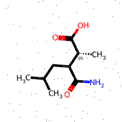 CC(C)CC(C(N)=O)[C@@H](C)C(=O)O